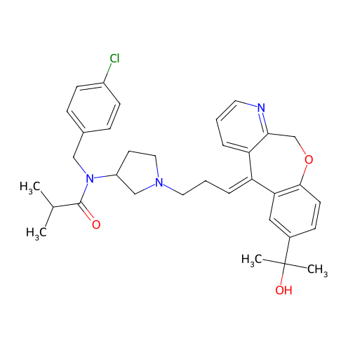 CC(C)C(=O)N(Cc1ccc(Cl)cc1)C1CCN(CCC=C2c3cc(C(C)(C)O)ccc3OCc3ncccc32)C1